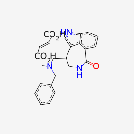 CN(Cc1ccccc1)CC1CNC(=O)c2cccc3[nH]cc1c23.O=C(O)/C=C/C(=O)O